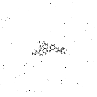 CN(C)Cc1c(Cc2cccc(CS)c2F)c(=O)oc2cc(OC(=O)N(C)C)ccc12